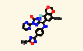 COc1cc(C(Nc2ccc(-c3noc(C)n3)cc2)c2nn(-c3ncccn3)c(=O)[nH]2)c(F)c2c1OCOC2